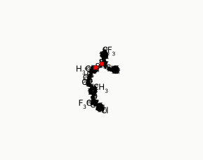 Cc1cc(OCc2cc(-c3ccc(Cl)cc3)oc2C(F)(F)F)ccc1CCC(=O)OC(=O)COc1ccc(SCc2sc(-c3ccc(C(F)(F)F)cc3)cc2CSCc2ccccc2)cc1C